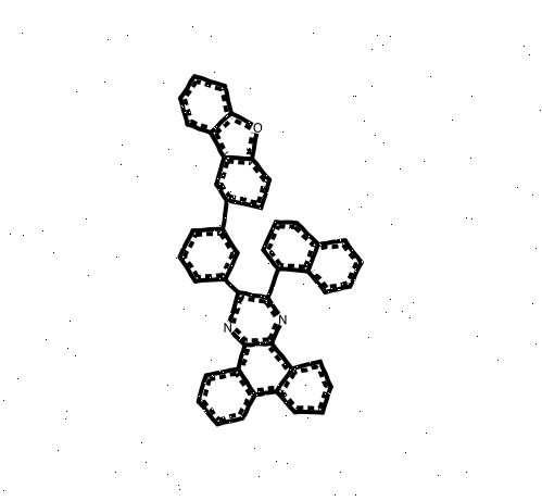 c1cc(-c2ccc3oc4ccccc4c3c2)cc(-c2nc3c4ccccc4c4ccccc4c3nc2-c2cccc3ccccc23)c1